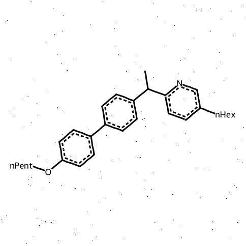 CCCCCCc1ccc(C(C)c2ccc(-c3ccc(OCCCCC)cc3)cc2)nc1